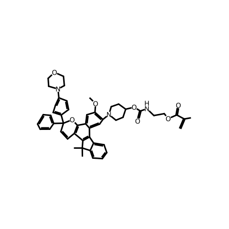 C=C(C)C(=O)OCCNC(=O)OC1CCN(c2cc3c4c(c5c(c3cc2OC)OC(c2ccccc2)(c2ccc(N3CCOCC3)cc2)C=C5)C(C)(C)c2ccccc2-4)CC1